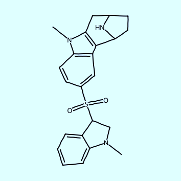 CN1CC(S(=O)(=O)c2ccc3c(c2)c2c(n3C)CC3CCC2N3)c2ccccc21